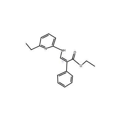 CCOC(=O)/C(=C\Nc1cccc(CC)n1)c1ccccc1